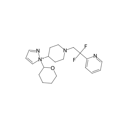 FC(F)(CN1CCC([N+]2(C3CCCCO3)C=CC=N2)CC1)c1ccccn1